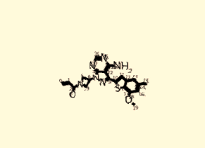 C=CC(=O)N1CC(n2nc(-c3cc4cc(C)cc(OC)c4s3)c3c(N)ncnc32)C1